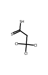 S=C(S)CC(Cl)(Cl)Cl